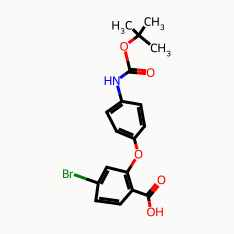 CC(C)(C)OC(=O)Nc1ccc(Oc2cc(Br)ccc2C(=O)O)cc1